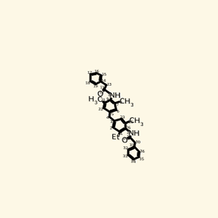 CCc1cc(Cc2cc(C)c(NC(=O)Cc3ccccc3)c(C)c2)cc(C)c1NC(=O)Cc1ccccc1